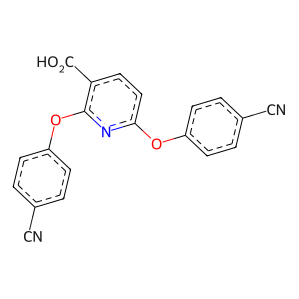 N#Cc1ccc(Oc2ccc(C(=O)O)c(Oc3ccc(C#N)cc3)n2)cc1